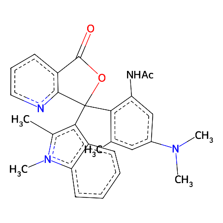 CC(=O)Nc1cc(N(C)C)cc(C)c1C1(c2c(C)n(C)c3ccccc23)OC(=O)c2cccnc21